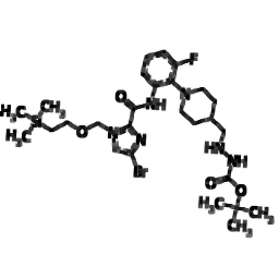 CC(C)(C)OC(=O)NNCC1CCN(c2c(F)cccc2NC(=O)c2nc(Br)cn2COCC[Si](C)(C)C)CC1